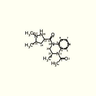 CC(=O)N1c2ccccc2N(C(=O)C2CC(C)N(C)N2)C[C@@H]1C